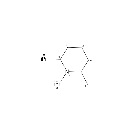 CC(C)C1CCCC(C)N1C(C)C